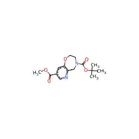 COC(=O)c1cnc2c(c1)OCCN(C(=O)OC(C)(C)C)C2